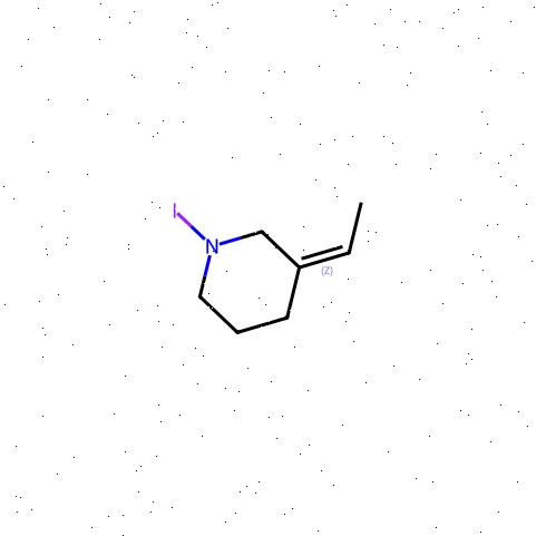 C/C=C1/CCCN(I)C1